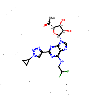 CNC(=O)[C@H]1O[C@@H](n2cnc3c(NCC(F)F)nc(-c4cn(C5CC5)nn4)nc32)[C@H](O)[C@@H]1O